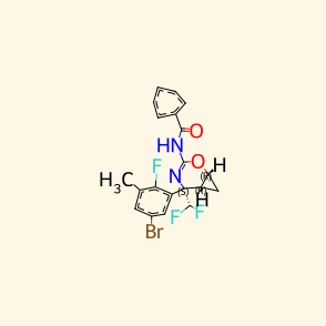 Cc1cc(Br)cc([C@@]2(C(F)F)N=C(NC(=O)c3ccccc3)O[C@@H]3C[C@@H]32)c1F